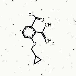 C=C(C)c1c(OCC2CC2)cccc1C(=O)CC